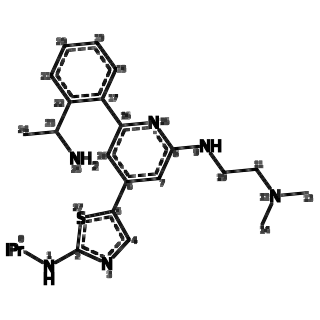 CC(C)Nc1ncc(-c2cc(NCCN(C)C)nc(-c3ccccc3C(C)N)c2)s1